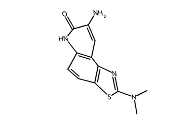 CN(C)c1nc2c(ccc3[nH]c(=O)c(N)cc32)s1